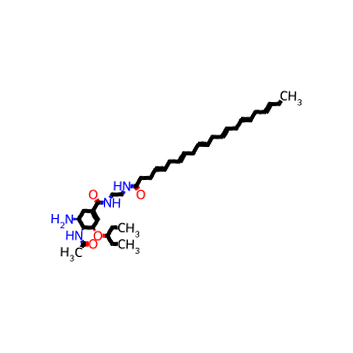 CCC=CCC=CCC=CCC=CCC=CCC=CCCC(=O)NCCNC(=O)C1=C[C@@H](OC(CC)CC)[C@H](NC(C)=O)[C@@H](N)C1